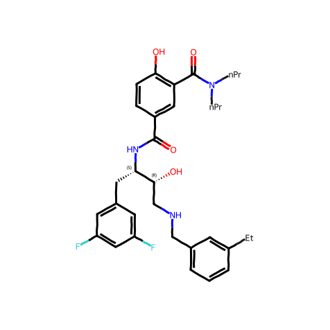 CCCN(CCC)C(=O)c1cc(C(=O)N[C@@H](Cc2cc(F)cc(F)c2)[C@H](O)CNCc2cccc(CC)c2)ccc1O